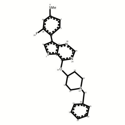 CSc1ccc(-c2csc3c(OC4CCN(Cc5ccccc5)CC4)ncnc23)c(F)c1